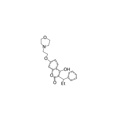 CCC(c1ccccc1)c1c(O)c2ccc(OCCN3CCOCC3)cc2oc1=O